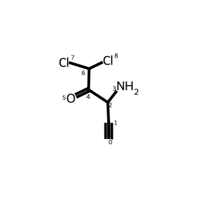 [C]#CC(N)C(=O)C(Cl)Cl